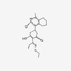 CCON=C(CC)C1=C(O)CC(c2c(Cl)nc(C)c3c2CCCC3)CC1=O